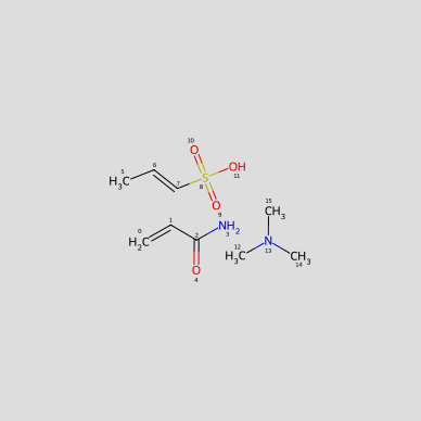 C=CC(N)=O.CC=CS(=O)(=O)O.CN(C)C